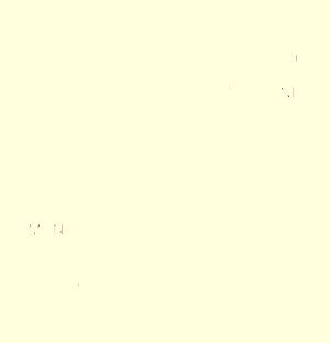 CCNC(=O)c1cccc(-c2ccc(C(=O)NC)cc2)c1